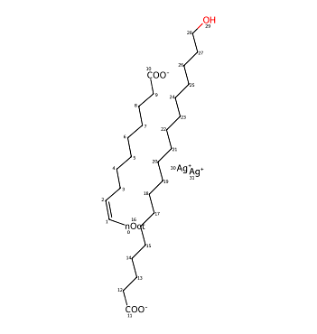 CCCCCCCC/C=C\CCCCCCCC(=O)[O-].O=C([O-])CCCCCCCCCCCCCCCCCO.[Ag+].[Ag+]